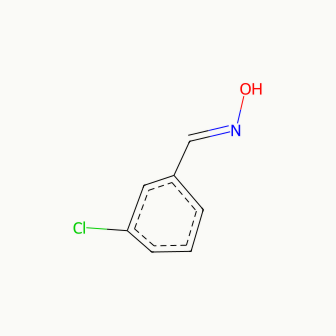 O/N=C/c1cccc(Cl)c1